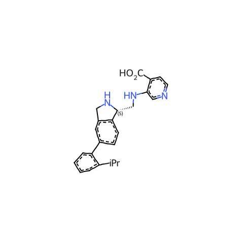 CC(C)c1ccccc1-c1ccc2c(c1)CN[C@@H]2CNc1cnccc1C(=O)O